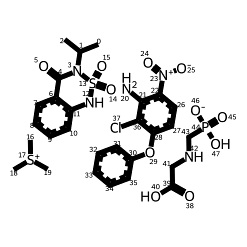 CC(C)N1C(=O)c2ccccc2NS1(=O)=O.C[S+](C)C.Nc1c([N+](=O)[O-])ccc(Oc2ccccc2)c1Cl.O=C(O)CNCP(=O)([O-])O